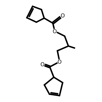 CC(COC(=O)C1CC=CC1)COC(=O)C1CC=CC1